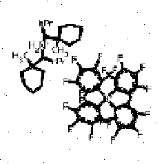 CCCC([NH2+]C(CCC)C1(C)CCCCC1)C1(C)CCCCC1.Fc1c(F)c(F)c([B-](c2c(F)c(F)c(F)c(F)c2F)(c2c(F)c(F)c(F)c(F)c2F)c2c(F)c(F)c(F)c(F)c2F)c(F)c1F